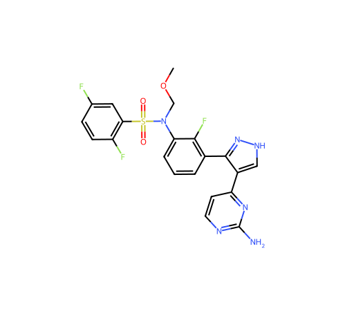 COCN(c1cccc(-c2n[nH]cc2-c2ccnc(N)n2)c1F)S(=O)(=O)c1cc(F)ccc1F